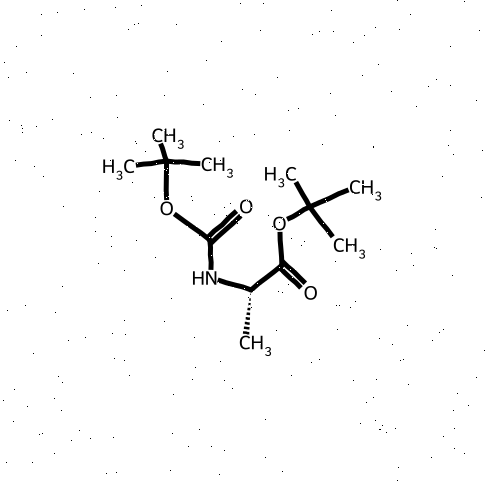 C[C@H](NC(=O)OC(C)(C)C)C(=O)OC(C)(C)C